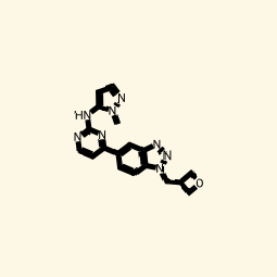 Cn1nccc1Nc1nccc(-c2ccc3c(c2)nnn3CC2COC2)n1